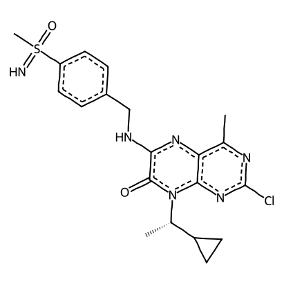 Cc1nc(Cl)nc2c1nc(NCc1ccc(S(C)(=N)=O)cc1)c(=O)n2[C@@H](C)C1CC1